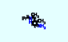 Cc1c(N)cccc1CC(C)NCC(C)C